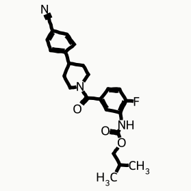 CC(C)COC(=O)Nc1cc(C(=O)N2CCC(c3ccc(C#N)cc3)CC2)ccc1F